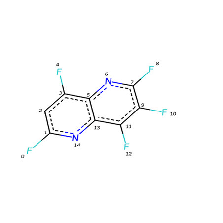 Fc1[c]c(F)c2nc(F)c(F)c(F)c2n1